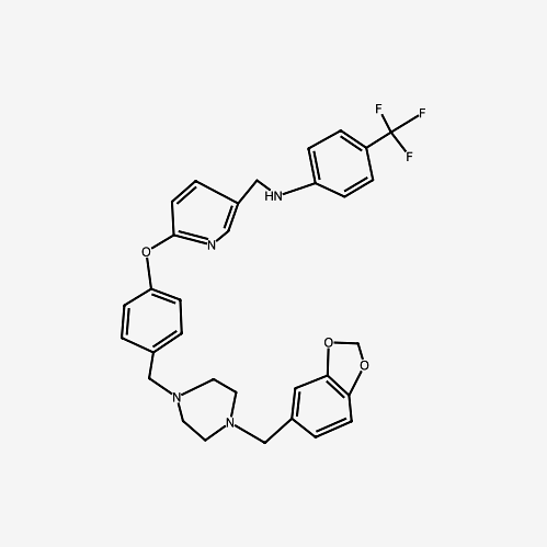 FC(F)(F)c1ccc(NCc2ccc(Oc3ccc(CN4CCN(Cc5ccc6c(c5)OCO6)CC4)cc3)nc2)cc1